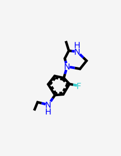 CCNc1ccc(N2CCNC(C)C2)c(F)c1